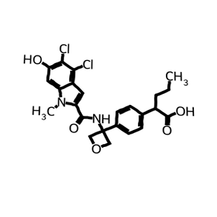 CCCC(C(=O)O)c1ccc(C2(NC(=O)c3cc4c(Cl)c(Cl)c(O)cc4n3C)COC2)cc1